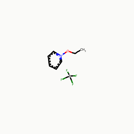 CCO[n+]1ccccc1.F[B-](F)(F)F